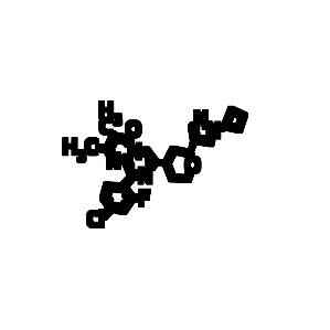 Cc1nc2c(-c3ccc(Cl)cc3F)nc([C@@H]3CCO[C@H](c4cnn(C5CCC5)c4)C3)cn2c(=O)c1C